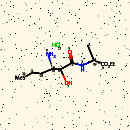 CCOC(=O)[C@H](C)NC(=O)C(O)[C@@H](N)CCSC.Cl